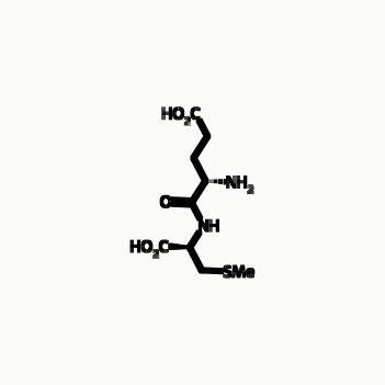 CSC[C@H](NC(=O)[C@@H](N)CCC(=O)O)C(=O)O